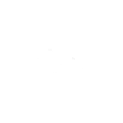 CC(C)(C)OC(=O)c1coc([O])n1